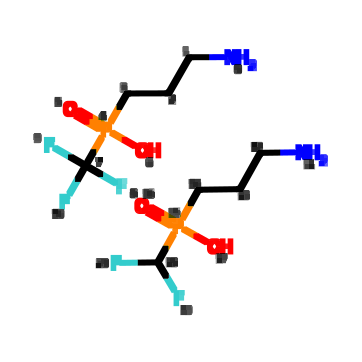 NCCCP(=O)(O)C(F)(F)F.NCCCP(=O)(O)C(F)F